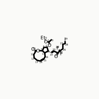 CCOC(C)O[C@@H]1CC2OC(=O)CCC/C=C\CC2[C@H]1/C=C/C(=O)C(F)(F)CCCI